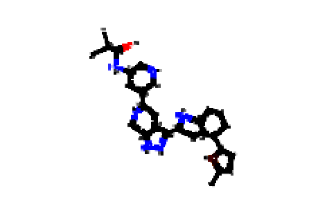 Cc1ccc(-c2cccc3[nH]c(-c4n[nH]c5cnc(-c6cncc(NC(=O)C(C)C)c6)cc45)cc23)s1